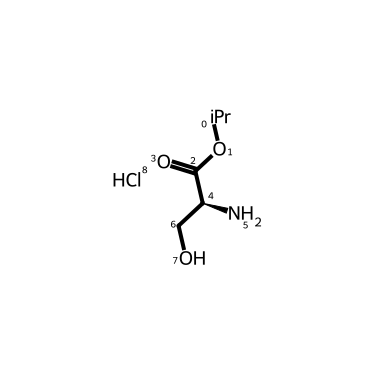 CC(C)OC(=O)[C@@H](N)CO.Cl